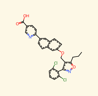 CCCc1onc(-c2c(Cl)cccc2Cl)c1COc1ccc2cc(-c3ccc(C(=O)O)cn3)ccc2c1